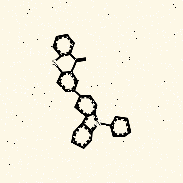 C=C1c2ccccc2Sc2ccc(-c3ccc4c(c3)c3ccccc3n4-c3ccccc3)cc21